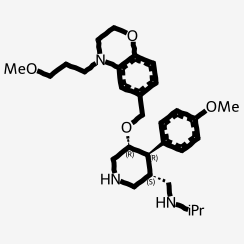 COCCCN1CCOc2ccc(CO[C@H]3CNC[C@@H](CNC(C)C)[C@@H]3c3ccc(OC)cc3)cc21